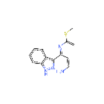 C=C(/N=C(\C=C/N)c1n[nH]c2ccccc12)SC